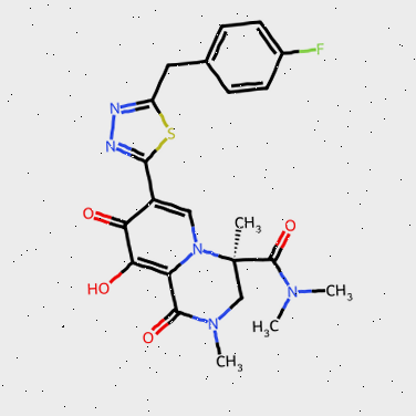 CN(C)C(=O)[C@@]1(C)CN(C)C(=O)c2c(O)c(=O)c(-c3nnc(Cc4ccc(F)cc4)s3)cn21